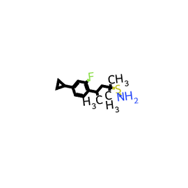 CC(CC(C)(C)SN)c1ccc(C2CC2)cc1F